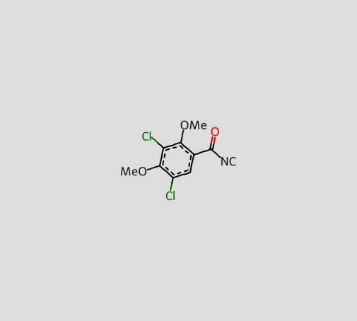 [C-]#[N+]C(=O)c1cc(Cl)c(OC)c(Cl)c1OC